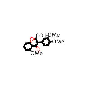 COc1ccc(-c2c(C(=O)O)oc3cccc(OC)c3c2=O)cc1OC